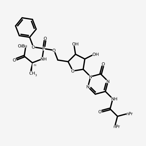 CCCC(CCC)C(=O)Nc1cnn(C2OC(COP(=O)(N[C@@H](C)C(=O)OCC(C)C)Oc3ccccc3)C(O)C2O)c(=O)n1